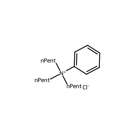 CCCCC[N+](CCCCC)(CCCCC)c1ccccc1.[Cl-]